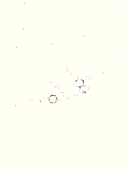 CCCCOc1nc(N)c2[nH]c(=O)n(CCCN(Cc3ccc(C(C)C(=O)O)cc3)C(=O)CN(CCO)CCO)c2n1